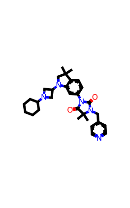 CC1(C)CN(C2CN(C3CCCCC3)C2)c2cc(N3C(=O)N(Cc4ccncc4)C(C)(C)C3=O)ccc21